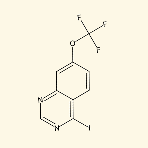 FC(F)(F)Oc1ccc2c(I)ncnc2c1